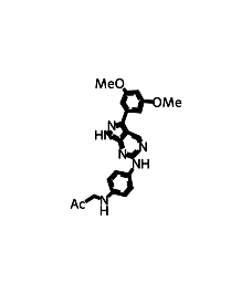 COc1cc(OC)cc(-c2n[nH]c3nc(Nc4ccc(NCC(C)=O)cc4)ncc23)c1